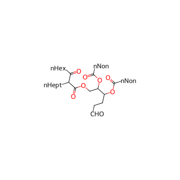 CCCCCCCCCC(=O)OC(CCC=O)C(COC(=O)C(CCCCCCC)C(=O)CCCCCC)OC(=O)CCCCCCCCC